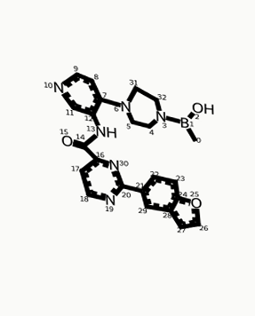 CB(O)N1CCN(c2ccncc2NC(=O)c2ccnc(-c3ccc4occc4c3)n2)CC1